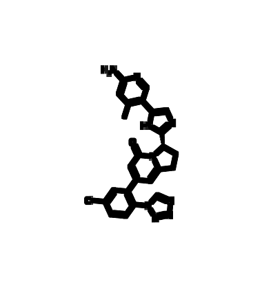 Cc1cc(N)ncc1-c1cnc([C@@H]2CCc3cc(-c4cc(Cl)ccc4-n4cnnn4)cc(=O)n32)[nH]1